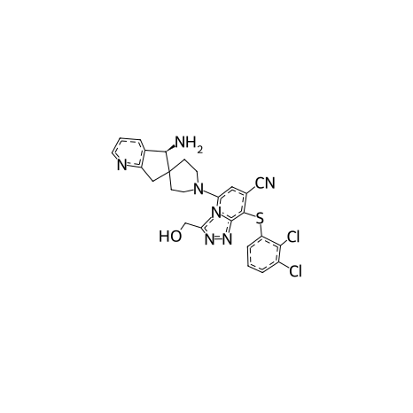 N#Cc1cc(N2CCC3(CC2)Cc2ncccc2[C@H]3N)n2c(CO)nnc2c1Sc1cccc(Cl)c1Cl